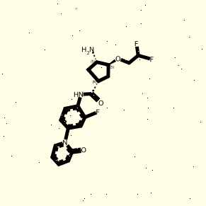 N[C@H]1C[C@@H](C(=O)Nc2ccc(-n3ccccc3=O)cc2F)C[C@@H]1OCC(F)F